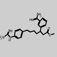 COC(=O)CC(CCCCc1ccc(NC(=N)N)cc1)c1cccc(C(=N)N)c1